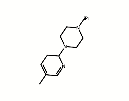 CC1=CCC(N2CCN(C(C)C)CC2)N=C1